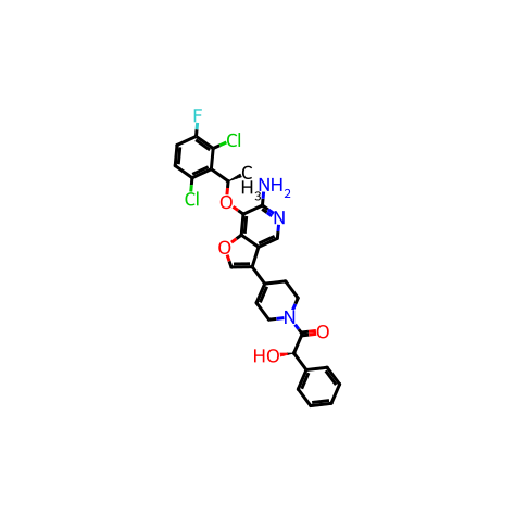 C[C@@H](Oc1c(N)ncc2c(C3=CCN(C(=O)[C@H](O)c4ccccc4)CC3)coc12)c1c(Cl)ccc(F)c1Cl